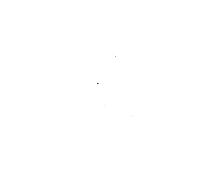 COc1ccc2[nH]c([S@@+]([O-])Cc3nccc(OC)c3OC)nc2n1